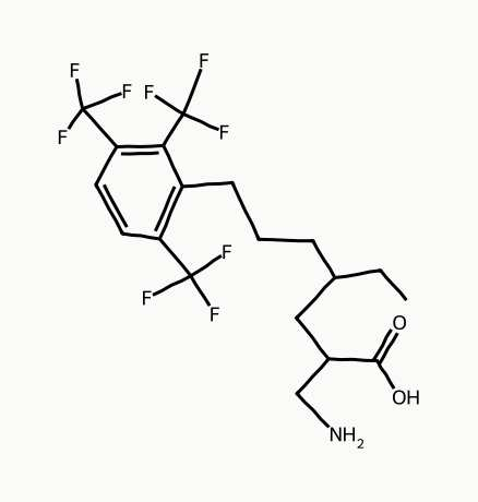 CCC(CCCc1c(C(F)(F)F)ccc(C(F)(F)F)c1C(F)(F)F)CC(CN)C(=O)O